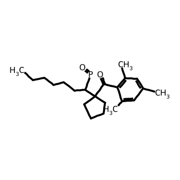 CCCCCCC(P=O)C1(C(=O)c2c(C)cc(C)cc2C)CCCC1